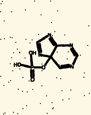 O=P(O)(O)OC12C=NC=NC1=NC=N2